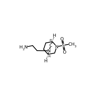 CS(=O)(=O)N1C[C@H]2CC[C@@H]1CN2CCN